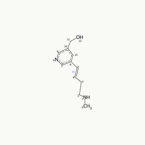 CNCC/C=C/c1cncc(CO)c1